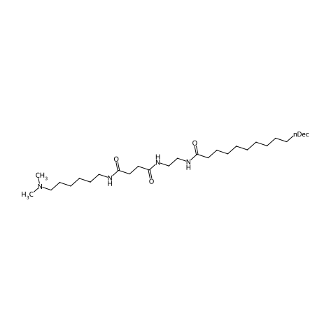 CCCCCCCCCCCCCCCCCCCC(=O)NCCNC(=O)CCC(=O)NCCCCCCN(C)C